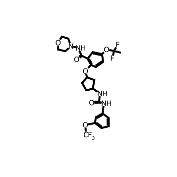 CC(F)(F)Oc1ccc(OC2CCC(NC(=O)Nc3cccc(OC(F)(F)F)c3)C2)c(C(=O)NN2CCOCC2)c1